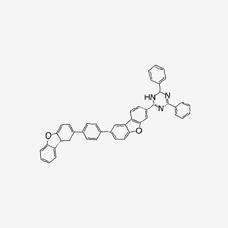 C1=C(c2ccc(-c3ccc4oc5cc(C6=NC(c7ccccc7)=NC(c7ccccc7)N6)ccc5c4c3)cc2)CC2C(=C1)Oc1ccccc12